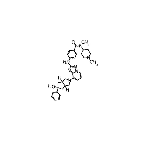 CN1CCC(N(C)C(=O)c2ccc(Nc3nc4c(N5C[C@@H]6C[C@](O)(c7ccccc7)C[C@@H]6C5)cccn4n3)cc2)CC1